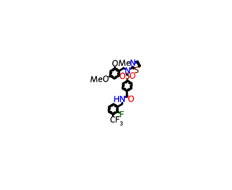 COc1ccc(CN(c2nccs2)S(=O)(=O)c2ccc(C(=O)NCc3cccc(C(F)(F)F)c3F)cc2)c(OC)c1